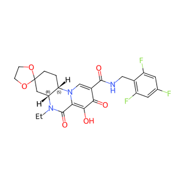 CCN1C(=O)c2c(O)c(=O)c(C(=O)NCc3c(F)cc(F)cc3F)cn2[C@H]2CCC3(C[C@H]21)OCCO3